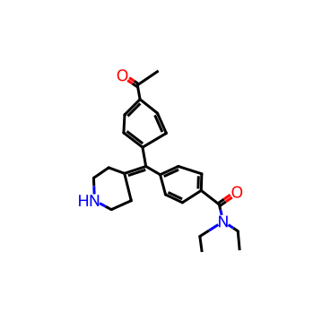 CCN(CC)C(=O)c1ccc(C(=C2CCNCC2)c2ccc(C(C)=O)cc2)cc1